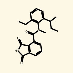 CCc1cccc(C(C)CC)c1N(C)C(=O)c1cccc2c1C(=O)NC2=O